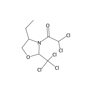 CCC1COC(C(Cl)(Cl)Cl)N1C(=O)C(Cl)Cl